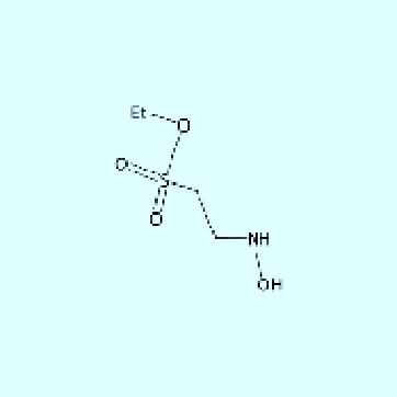 CCOS(=O)(=O)CCNO